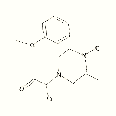 CC1CN(C(Cl)C=O)CCN1Cl.COc1ccccc1